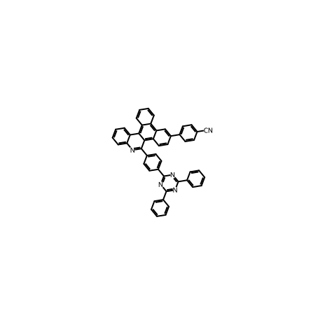 N#Cc1ccc(-c2ccc3c(c2)c2ccccc2c2c4ccccc4nc(-c4ccc(-c5nc(-c6ccccc6)nc(-c6ccccc6)n5)cc4)c32)cc1